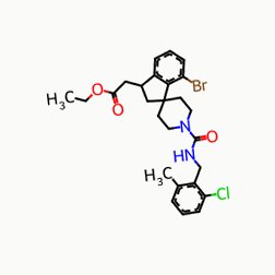 CCOC(=O)CC1CC2(CCN(C(=O)NCc3c(C)cccc3Cl)CC2)c2c(Br)cccc21